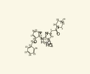 CN1CCN(C(=O)Cc2csc(Nc3ncccc3OCc3ccccc3)n2)CC1.Cl.Cl